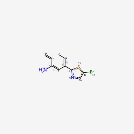 C=C/C(N)=C\C(=C/C)c1ncc(Br)s1